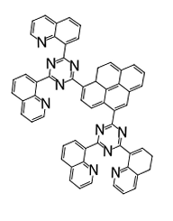 C1=C(c2nc(-c3cc4cccc5c4c4c3=CC=C(c3nc(-c6cccc7cccnc67)nc(-c6cccc7cccnc67)n3)C4CC=5)nc(-c3cccc4cccnc34)n2)c2ncccc2CC1